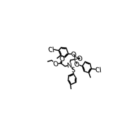 CCOC(=O)CN(CP(=O)(Oc1ccc(Cl)c(C)c1)Oc1ccc(Cl)c(C)c1)Sc1ccc(C)cc1